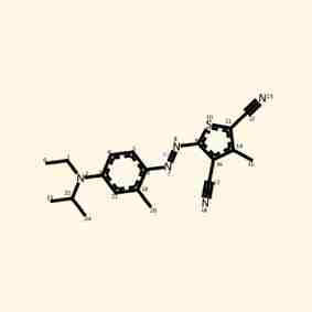 CCN(c1ccc(/N=N/c2sc(C#N)c(C)c2C#N)c(C)c1)C(C)C